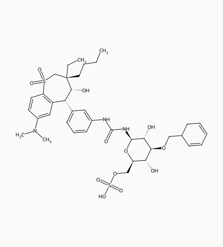 CCCC[C@]1(CC)CS(=O)(=O)c2ccc(N(C)C)cc2[C@@H](c2cccc(NC(=O)N[C@@H]3O[C@H](COS(=O)(=O)O)[C@@H](O)[C@H](OCC4C=CC=CC4)[C@H]3O)c2)[C@H]1O